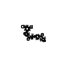 O=C(c1cscn1)N1CCN(C2CN(C(=O)c3csc(-c4cc(Cl)cc(Cl)c4)n3)C2)CC1